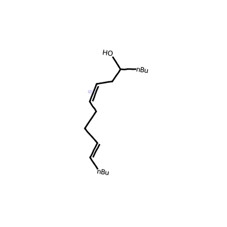 CCCCC=CCC/C=C\CC(O)CCCC